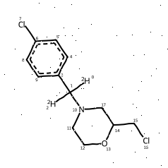 [2H]C([2H])(c1ccc(Cl)cc1)N1CCOC(CCl)C1